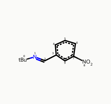 CC(C)(C)N=Cc1cccc([N+](=O)[O-])c1